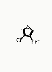 CCCc1cs[c]c1Cl